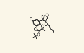 CCCCO[C@@H]1CON=C1c1cc(F)ccc1O[C@@H](C)C(=O)OC(C)(C)C